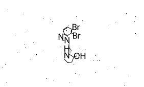 O[C@H]1CCCN[C@@H]1CCCn1cnc2ccc(Br)c(Br)c21